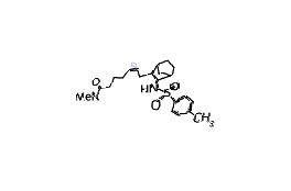 CNC(=O)CCC/C=C\CC1C2CCC(C2)C1NS(=O)(=O)c1ccc(C)cc1